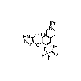 CC(C)N1CCc2ccc(Oc3nn[nH]c3C(=O)O)cc2C1.O=C(O)C(F)(F)F